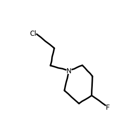 FC1CCN(CCCl)CC1